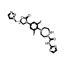 O=C(Nc1nccs1)N1CCN(c2c(F)cc(N3C[C@H](Cn4ccnn4)OC3=O)cc2F)CCN1